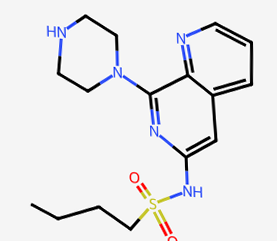 CCCCS(=O)(=O)Nc1cc2cccnc2c(N2CCNCC2)n1